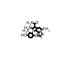 Cc1ccc(O)c(C)c1-n1c(N)c(C(N)=O)c2cc(C)n3ncnc3c21